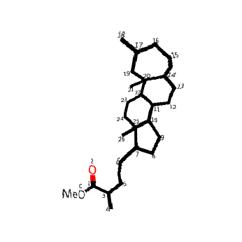 COC(=O)C(C)CCC1CCC2C3CCC4CCC(C)CC4(C)C3CCC12C